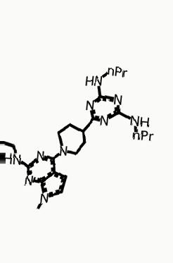 C=CCNc1nc(N2CCC(c3nc(NCCC)nc(NCCC)n3)CC2)c2ccn(C)c2n1